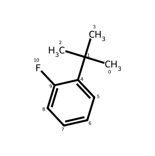 CC(C)(C)c1ccccc1F